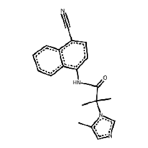 Cc1cncn1C(C)(C)C(=O)Nc1ccc(C#N)c2ccccc12